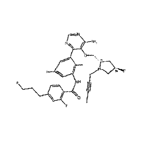 CC#CCN1C[C@H](F)C[C@H]1COc1c(N)ncnc1-c1cc(F)cc(NC(=O)c2ccc(CCCF)cc2F)c1C